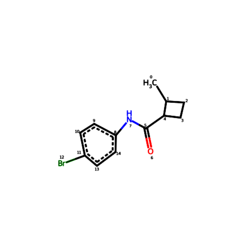 CC1CCC1C(=O)Nc1ccc(Br)cc1